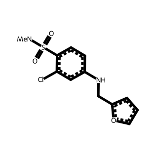 CNS(=O)(=O)c1ccc(NCc2ccco2)cc1Cl